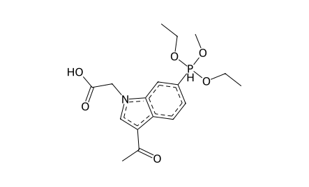 CCO[PH](OC)(OCC)c1ccc2c(C(C)=O)cn(CC(=O)O)c2c1